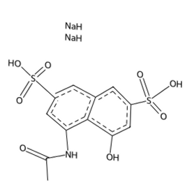 CC(=O)Nc1cc(S(=O)(=O)O)cc2cc(S(=O)(=O)O)cc(O)c12.[NaH].[NaH]